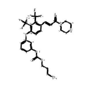 CCCCOC(=O)Nc1cccc(Sc2ccc(C=CC(=O)N3CCOCC3)c(C(F)(F)F)c2C(F)(F)F)c1